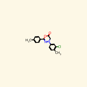 Cc1ccc(C2=NN(c3ccc(C)c(Cl)c3)CC(=O)O2)cc1